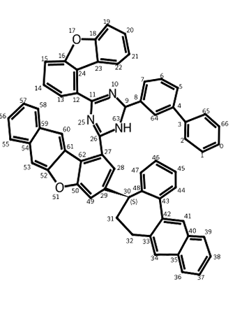 c1ccc(-c2cccc(C3N=C(c4cccc5oc6ccccc6c45)N=C(c4cc([C@@H]5CCc6cc7ccccc7cc6-c6ccccc65)cc5oc6cc7ccccc7cc6c45)N3)c2)cc1